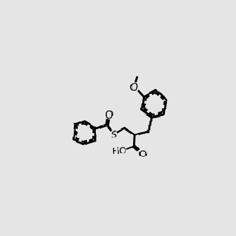 COc1cccc(CC(CSC(=O)c2ccccc2)C(=O)O)c1